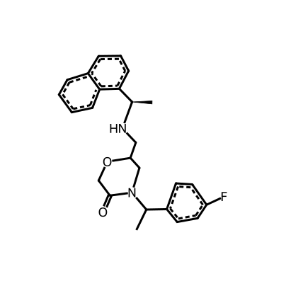 CC(c1ccc(F)cc1)N1CC(CN[C@H](C)c2cccc3ccccc23)OCC1=O